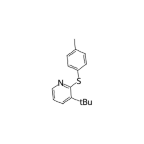 Cc1ccc(Sc2ncccc2C(C)(C)C)cc1